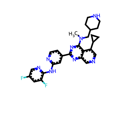 CN(CC1CCNCC1)c1nc(-c2ccnc(Nc3ncc(F)cc3F)c2)nc2cncc(C3CC3)c12